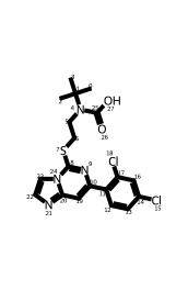 CC(C)(C)N(CCSc1nc(-c2ccc(Cl)cc2Cl)cc2nccn12)C(=O)O